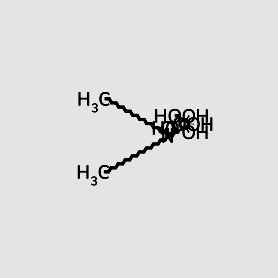 CCCCCCCCCCCCCCCCCCN(CC(O)C[C@@H]1O[C@H](CO)[C@@H](O)[C@H](O)[C@H]1O)C(=O)CCCCCCCCCCCCCCCCC